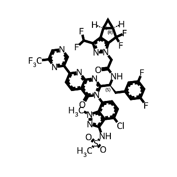 Cn1nc(NS(C)(=O)=O)c2c(Cl)ccc(-n3c([C@H](Cc4cc(F)cc(F)c4)NC(=O)Cn4nc(C(F)F)c5c4C(F)(F)[C@@H]4C[C@H]54)nc4nc(-c5cncc(C(F)(F)F)n5)ccc4c3=O)c21